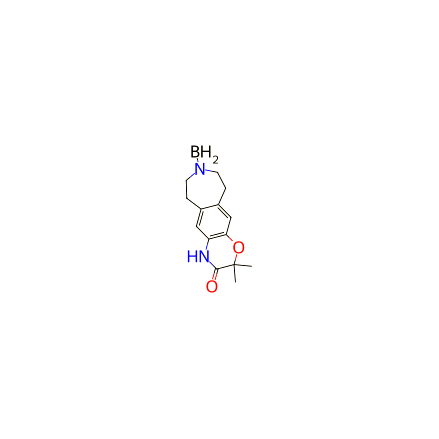 BN1CCc2cc3c(cc2CC1)OC(C)(C)C(=O)N3